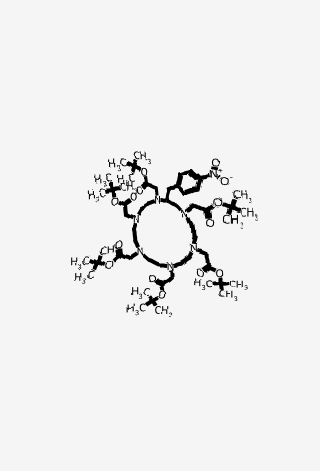 CC(C)(C)OC(=O)CN1CCN(CC(=O)OC(C)(C)C)CCN(CC(=O)OC(C)(C)C)CCN(CC(=O)OC(C)(C)C)C(Cc2ccc([N+](=O)[O-])cc2)CN(CC(=O)OC(C)(C)C)CCN(CC(=O)OC(C)(C)C)CC1